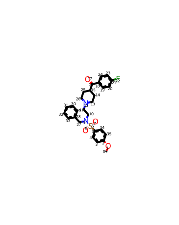 COc1ccc(S(=O)(=O)N(CCN2CCC(C(=O)c3ccc(F)cc3)CC2)Cc2ccccc2)cc1